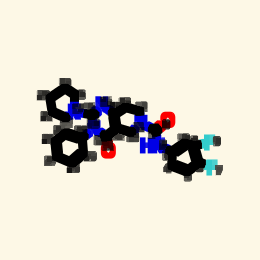 O=C(Nc1ccc(F)c(F)c1)N1CCc2nc(N3CCCCC3)n(-c3ccccc3)c(=O)c2C1